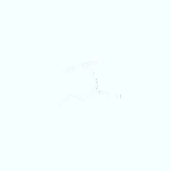 C=CCN(C)C.O=C=O